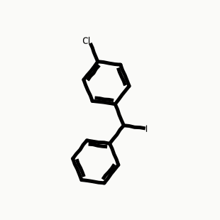 Clc1ccc(C(I)c2ccccc2)cc1